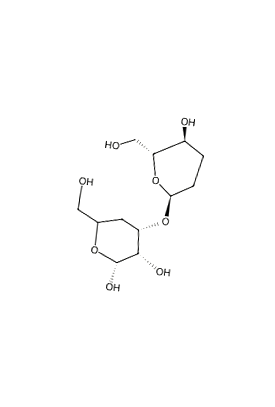 OCC1C[C@H](O[C@@H]2CC[C@H](O)[C@@H](CO)O2)[C@H](O)[C@H](O)O1